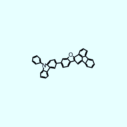 c1ccc(-n2c3ccccc3c3cc(-c4ccc5c(c4)oc4c6cccc7c6c(cc54)-c4ccccc4-7)ccc32)cc1